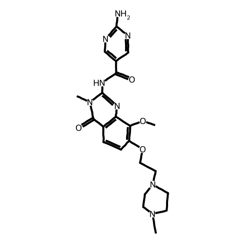 COc1c(OCCN2CCN(C)CC2)ccc2c(=O)n(C)c(NC(=O)c3cnc(N)nc3)nc12